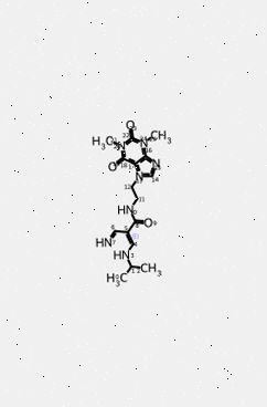 CC(C)N/C=C(\C=N)C(=O)NCCn1cnc2c1c(=O)n(C)c(=O)n2C